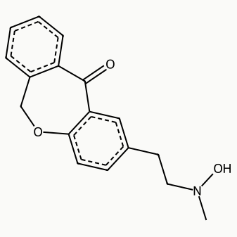 CN(O)CCc1ccc2c(c1)C(=O)c1ccccc1CO2